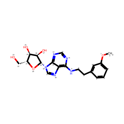 COc1cccc(CCNc2ncnc3c2ncn3[C@@H]2O[C@H](CO)[C@@H](O)[C@H]2O)c1